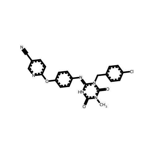 Cn1c(=O)[nH]/c(=N\c2ccc(Oc3ccc(C#N)cn3)cc2)n(Cc2ccc(Cl)cc2)c1=O